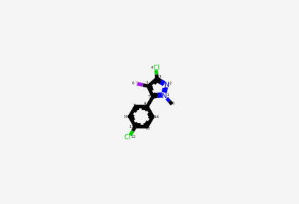 Cn1nc(Cl)c(I)c1-c1ccc(Cl)cc1